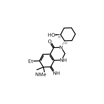 CCC1=CC2=C(NCN([C@H]3CCCC[C@@H]3O)C2=O)C(=N)C1(C)NC